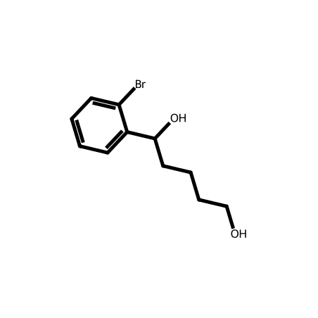 OCCCCC(O)c1ccccc1Br